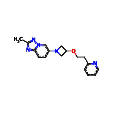 Cc1nc2ccc(N3CC(OCCc4ccccn4)C3)cn2n1